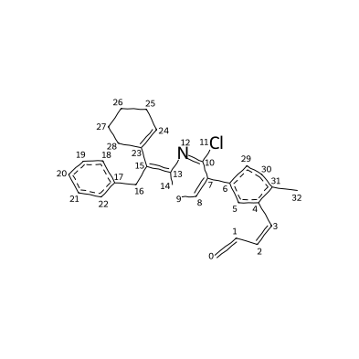 C=C/C=C\c1cc(C(=C/C)/C(Cl)=N\C(C)=C(\Cc2ccccc2)C2=CCCCC2)ccc1C